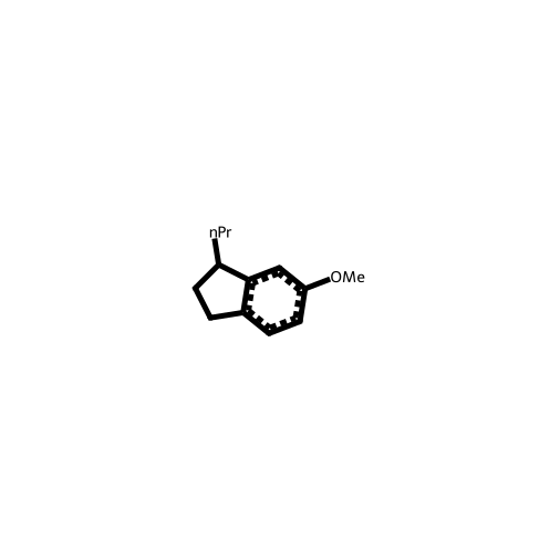 CCCC1CCc2ccc(OC)cc21